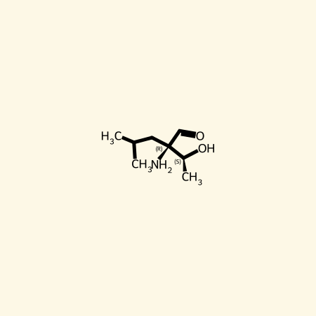 CC(C)C[C@](N)(C=O)[C@H](C)O